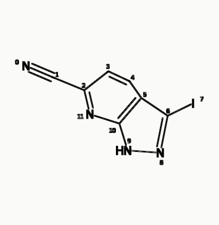 N#Cc1ccc2c(I)n[nH]c2n1